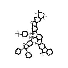 CC(C)(C)c1ccc(Nc2cc3oc4cc5c(cc4c3cc2-c2ccc3c4cc6c(cc4n4c3c2Bc2cc3oc(-c7ccccc7)c(-c7ccccc7)c3cc2-4)C(C)(C)c2ccccc2-6)C(C)(C)CCC5(C)C)cc1